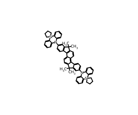 CC1(C)c2cc(N3c4ccccc4[Si]4(CCCC4)c4ccccc43)ccc2-c2c1ccc1c3c(ccc21)C(C)(C)c1cc(N2c4ccccc4[Si]4(CCCC4)c4ccccc42)ccc1-3